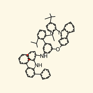 CC(C)c1cccc(C(C)C)c1-c1cc(Nc2ccccc2Nc2c(-c3ccccc3)cccc2-c2ccccc2)cc(Oc2ccc3c4ccccc4n(-c4cc(C(C)(C)C)ccn4)c3c2)c1